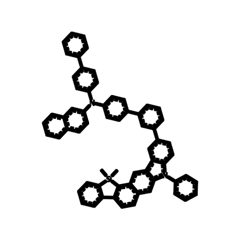 C[Si]1(C)c2ccccc2-c2ccc3cc4c(cc3c21)c1cc(-c2cccc(-c3ccc(N(c5ccc(-c6ccccc6)cc5)c5ccc6ccccc6c5)cc3)c2)ccc1n4-c1ccccc1